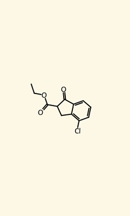 CCOC(=O)C1Cc2c(Cl)cccc2C1=O